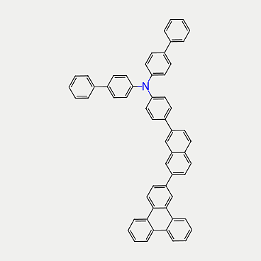 c1ccc(-c2ccc(N(c3ccc(-c4ccccc4)cc3)c3ccc(-c4ccc5ccc(-c6ccc7c8ccccc8c8ccccc8c7c6)cc5c4)cc3)cc2)cc1